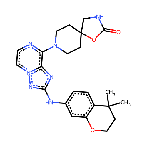 CC1(C)CCOc2cc(Nc3nc4c(N5CCC6(CC5)CNC(=O)O6)nccn4n3)ccc21